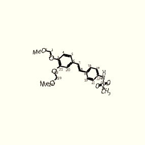 COCOc1ccc(C=Cc2ccc(NS(C)(=O)=O)cc2)cc1OCOC